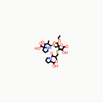 CCOC(=O)C1(CSCC(C)C(=O)C2(C(=O)O)CCCN2)OC(=O)C(O)=C1SCC(C)C(=O)N1CCCC1C(=O)O